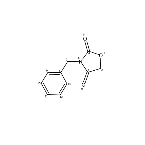 O=C1COC(=O)N1Cc1ccccc1